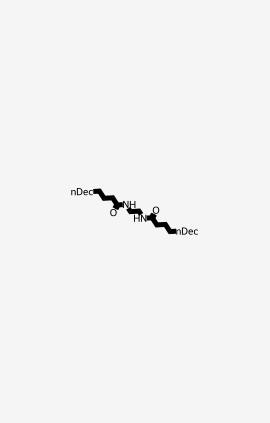 CCCCCCCCCCCCCC(=O)NCCNC(=O)CCCCCCCCCCCCC